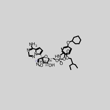 CCC(CC)COC(=O)[C@H](C)NP(=O)(OC[C@H]1O[C@@](/C=N\C)(c2ccc3c(N)ncnn23)[C@H](O)[C@@H]1O)Oc1ccc(OC2CCCCC2)cc1